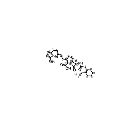 NCC1=C(CC(=O)NC2C(=O)N3C(C(=O)O)=C(CSc4ccc5nnc(O)n5n4)CS[C@@H]23)CCCC1